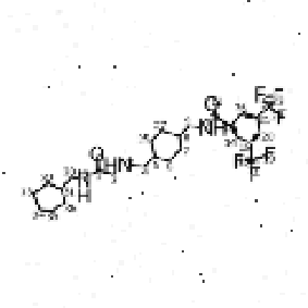 O=C(CNCC1CCC(CNC(=O)c2cc(C(F)(F)F)cc(C(F)(F)F)c2)CC1)NCC1CCCCC1